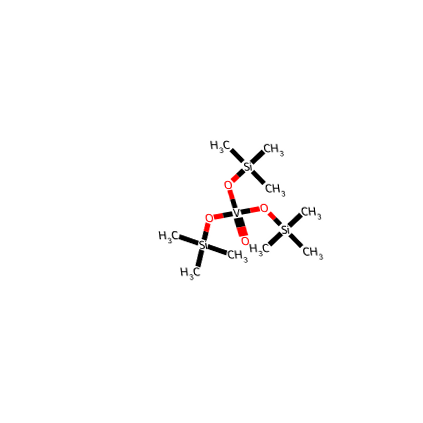 C[Si](C)(C)[O][V](=[O])([O][Si](C)(C)C)[O][Si](C)(C)C